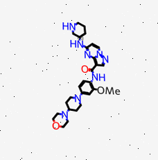 COc1cc(N2CCC(N3CCOCC3)CC2)ccc1NC(=O)c1cnn2ccc(N[C@@H]3CCCNC3)nc12